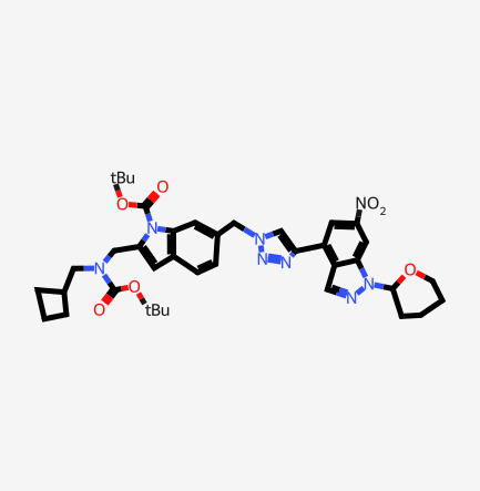 CC(C)(C)OC(=O)N(Cc1cc2ccc(Cn3cc(-c4cc([N+](=O)[O-])cc5c4cnn5C4CCCCO4)nn3)cc2n1C(=O)OC(C)(C)C)CC1CCC1